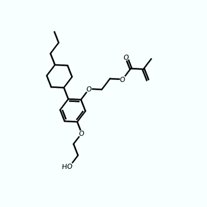 C=C(C)C(=O)OCCOc1cc(OCCO)ccc1C1CCC(CCC)CC1